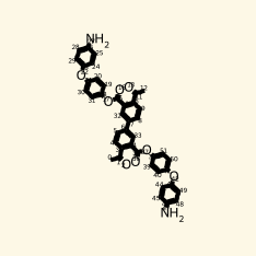 CC(=O)c1ccc(-c2ccc(C(C)=O)c(C(=O)Oc3ccc(Oc4ccc(N)cc4)cc3)c2)cc1C(=O)Oc1ccc(Oc2ccc(N)cc2)cc1